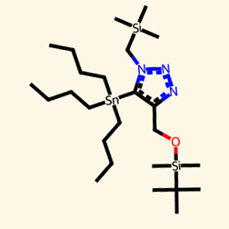 CCC[CH2][Sn]([CH2]CCC)([CH2]CCC)[c]1c(CO[Si](C)(C)C(C)(C)C)nnn1C[Si](C)(C)C